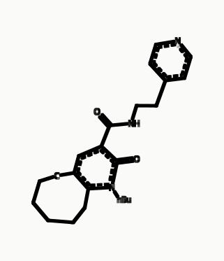 CCCCn1c2c(cc(C(=O)NCCc3ccncc3)c1=O)CCCCCC2